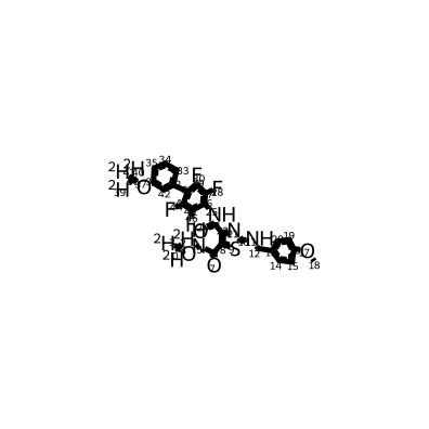 [2H]C([2H])([2H])ONC(=O)c1sc(NCc2ccc(OC)cc2)nc1C(=O)Nc1c(F)c(F)c(-c2cccc(OC([2H])([2H])[2H])c2)c(F)c1F